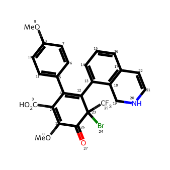 COC1=C(C(=O)O)C(c2ccc(OC)cc2)=C(c2cccc3c2CNC=C3)C(Br)(C(F)(F)F)C1=O